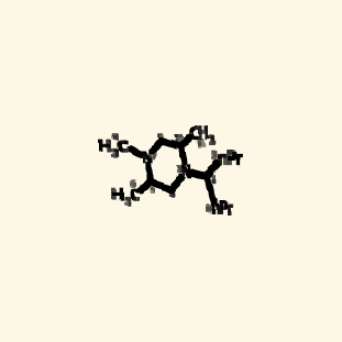 CCCC(CCC)N1CC(C)N(C)CC1C